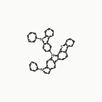 c1ccc(-n2ccc3cc4c5ccc6c7ccccc7sc6c5n(-c5ccc6c(c5)c5ccccc5n6-c5ccccc5)c4cc32)cc1